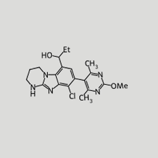 CCC(O)c1cc(-c2c(C)nc(OC)nc2C)c(Cl)c2nc3n(c12)CCCN3